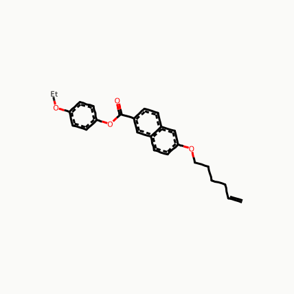 C=CCCCCOc1ccc2cc(C(=O)Oc3ccc(OCC)cc3)ccc2c1